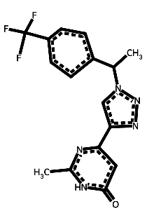 Cc1nc(-c2cn(C(C)c3ccc(C(F)(F)F)cc3)nn2)cc(=O)[nH]1